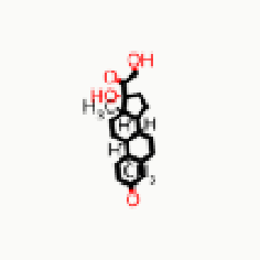 C[C@]12C=CC(=O)C=C1C=C[C@@H]1[C@@H]2CC[C@@]2(C)[C@H]1CC[C@]2(O)C(=O)CO